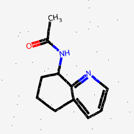 CC(=O)NC1CCCc2cccnc21